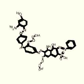 Nc1cc(O)ccc1N=Nc1ccc(Nc2ccc(N=Nc3c(SOOO)cc4cc(S(=O)(=O)O)c(N=Nc5ccccc5)c(O)c4c3N)cc2SOOO)cc1